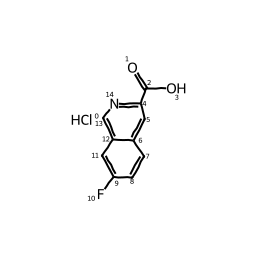 Cl.O=C(O)c1cc2ccc(F)cc2cn1